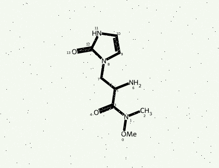 CON(C)C(=O)C(N)Cn1cc[nH]c1=O